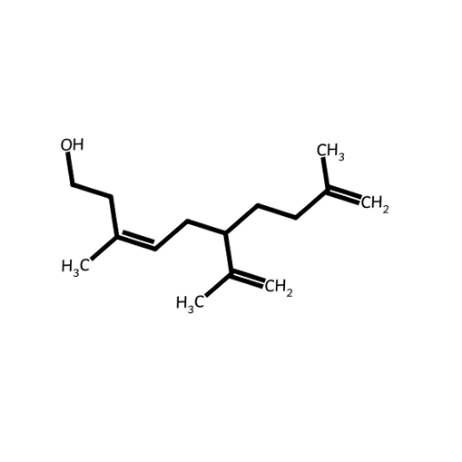 C=C(C)CCC(CC=C(C)CCO)C(=C)C